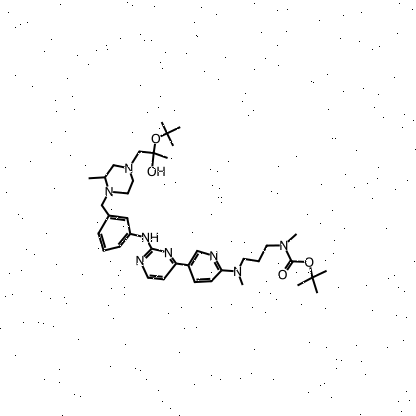 CC1CN(CC(C)(O)OC(C)(C)C)CCN1Cc1cccc(Nc2nccc(-c3ccc(N(C)CCCN(C)C(=O)OC(C)(C)C)nc3)n2)c1